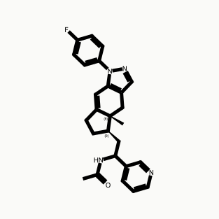 CC(=O)NC(C[C@H]1CCC2=Cc3c(cnn3-c3ccc(F)cc3)C[C@@]21C)c1cccnc1